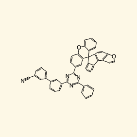 N#Cc1cccc(-c2cccc(-c3nc(-c4ccccc4)nc(-c4ccc5c(c4)C4(c6ccccc6O5)c5ccccc5-c5c4ccc4occc54)n3)c2)c1